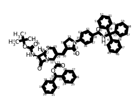 CC(C)(C)OC(=O)N[C@@H]1C(=O)N2[C@@H](C(=O)OC(c3ccccc3)c3ccccc3)C(/C=C3\CCN(c4ccc(C(=O)NC(c5ccccc5)(c5ccccc5)c5ccccc5)cc4)C3=O)=CS[C@H]12